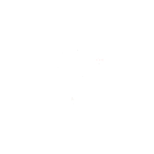 CC(Br)c1cccc(O)c1